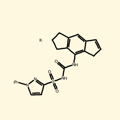 CC(C)n1ccc(S(=O)(=O)NC(=O)Nc2c3c(cc4c2CCC4)C=CC3)n1.[K]